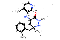 CCN1NC(Cc2ccccc2C(F)(F)F)(C(=O)O)C=C(Nc2cnccc2C)C1=O